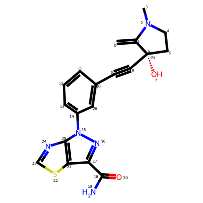 C=C1N(C)CC[C@@]1(O)C#Cc1cccc(-n2nc(C(N)=O)c3scnc32)c1